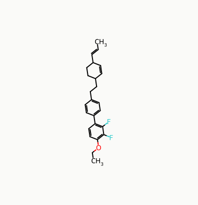 C/C=C/C1C=CC(CCc2ccc(-c3ccc(OCC)c(F)c3F)cc2)CC1